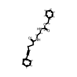 O=C(CCC#Cc1ccccc1)NCCNC(=O)OCc1ccccc1